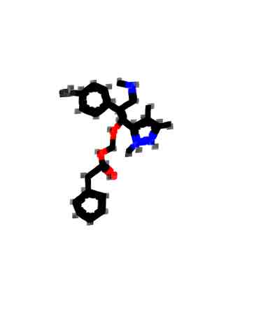 C/N=C\C(=C(\OCOC(=O)Cc1ccccc1)c1c(C)c(C)nn1C)c1ccc(C(C)(C)C)cc1